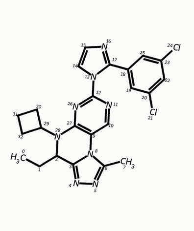 CCC1c2nnc(C)n2-c2cnc(-n3ccnc3-c3cc(Cl)cc(Cl)c3)nc2N1C1CCC1